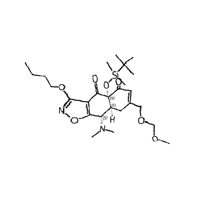 CCCCOc1noc2c1C(=O)[C@@]1(O[Si](C)(C)C(C)(C)C)C(=O)C=C(COCOC)C[C@H]1[C@@H]2N(C)C